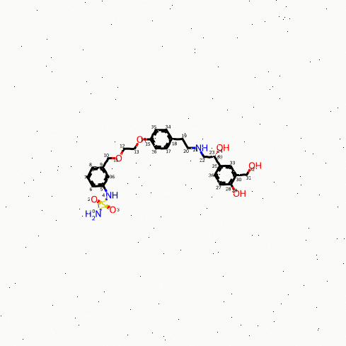 NS(=O)(=O)Nc1cccc(COCCOc2ccc(CCNC[C@H](O)c3ccc(O)c(CO)c3)cc2)c1